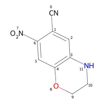 N#Cc1cc2c(cc1[N+](=O)[O-])OCCN2